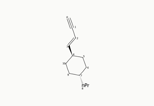 C#CC=C[C@H]1CC[C@H](CCC)CC1